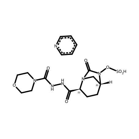 O=C(NNC(=O)N1CCOCC1)[C@@H]1CC[C@@H]2CN1C(=O)N2OS(=O)(=O)O.c1ccncc1